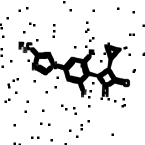 O=C1N[C@@H](c2c(F)cc(-n3cnc(C(F)(F)F)c3)cc2F)[C@H]1C1CC1